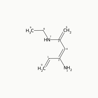 C=C/C(N)=C\C(=C)NCC